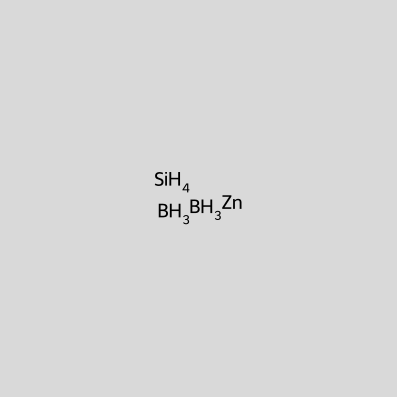 B.B.[SiH4].[Zn]